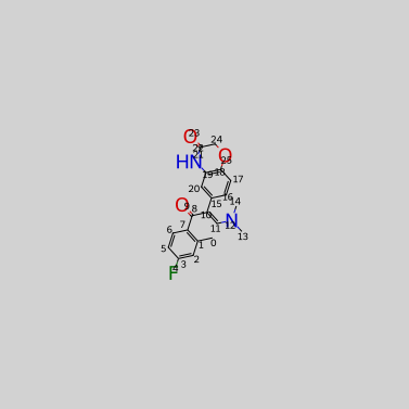 Cc1cc(F)ccc1C(=O)/C(=C/N(C)C)c1ccc2c(c1)NC(=O)CO2